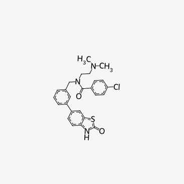 CN(C)CCN(Cc1cccc(-c2ccc3[nH]c(=O)sc3c2)c1)C(=O)c1ccc(Cl)cc1